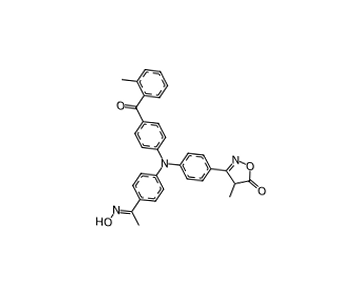 C/C(=N\O)c1ccc(N(c2ccc(C(=O)c3ccccc3C)cc2)c2ccc(C3=NOC(=O)C3C)cc2)cc1